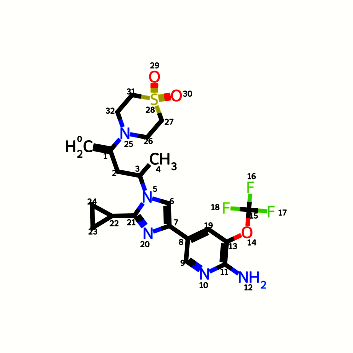 C=C(CC(C)n1cc(-c2cnc(N)c(OC(F)(F)F)c2)nc1C1CC1)N1CCS(=O)(=O)CC1